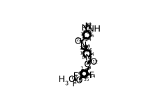 CC(F)(F)Oc1ccc(COC(=O)N2CCC3(CC2)CN(C(=O)[C@@H]2CCc4[nH]nnc4C2)C3)c(F)c1